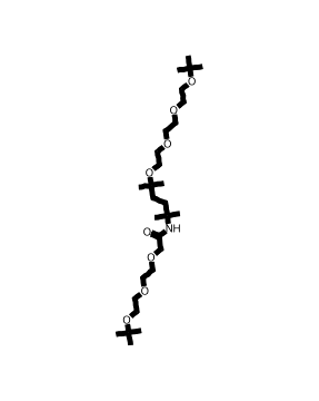 CC(C)(CCC(C)(C)OCCOCCOCCOC(C)(C)C)NC(=O)COCCOCCOC(C)(C)C